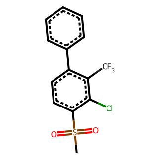 CS(=O)(=O)c1ccc(-c2ccccc2)c(C(F)(F)F)c1Cl